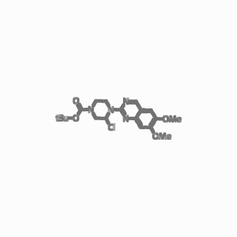 COc1cc2cnc(N3CCN(C(=O)OC(C)(C)C)CC3Cl)nc2cc1OC